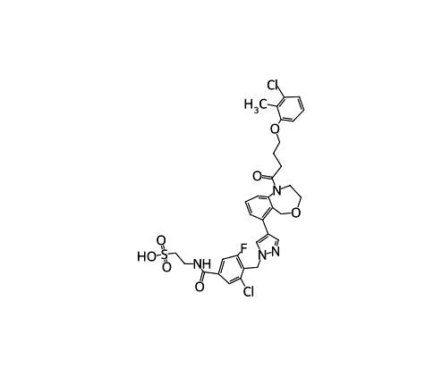 Cc1c(Cl)cccc1OCCCC(=O)N1CCOCc2c(-c3cnn(Cc4c(F)cc(C(=O)NCCS(=O)(=O)O)cc4Cl)c3)cccc21